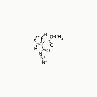 COC(=O)[C@H]1[C@@H](C(=O)N=[N+]=[N-])[C@@H]2C=C[C@H]1C2